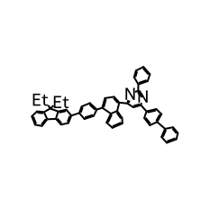 CCC1(CC)c2ccccc2-c2ccc(-c3ccc(-c4ccc(-c5cc(-c6ccc(-c7ccccc7)cc6)nc(-c6ccccc6)n5)c5ccccc45)cc3)cc21